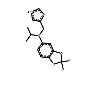 CC(C)N(Cc1c[nH]cn1)c1ccc2c(c1)OC(F)(F)O2